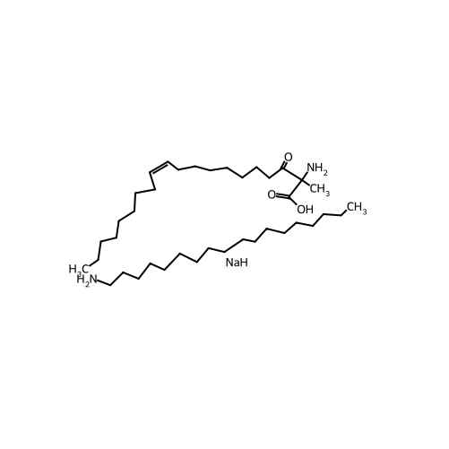 CCCCCCCC/C=C\CCCCCCCC(=O)C(C)(N)C(=O)O.CCCCCCCCCCCCCCCCCCN.[NaH]